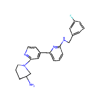 NC1CCCN(c2cc(-c3cccc(NCc4cccc(F)c4)n3)ccn2)C1